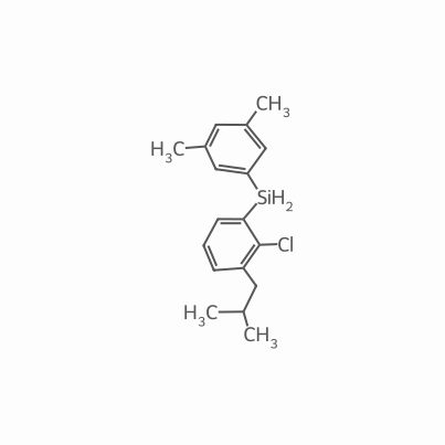 Cc1cc(C)cc([SiH2]c2cccc(CC(C)C)c2Cl)c1